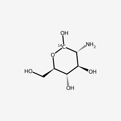 N[C@@H]1[C@@H](O)[C@H](O)[C@@H](CO)O[14CH]1O